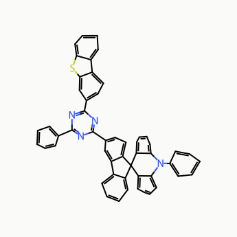 c1ccc(-c2nc(-c3ccc4c(c3)-c3ccccc3C43c4ccccc4N(c4ccccc4)c4ccccc43)nc(-c3ccc4c(c3)sc3ccccc34)n2)cc1